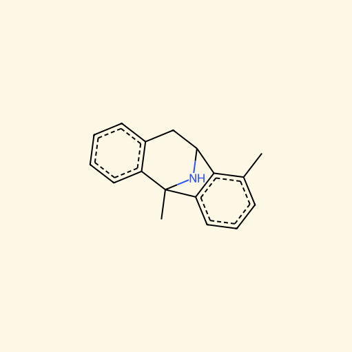 Cc1cccc2c1C1Cc3ccccc3C2(C)N1